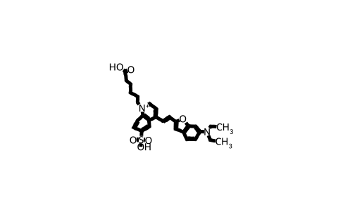 CCN(CC)c1ccc2cc(/C=C/c3cc[n+](CCCCCC(=O)O)c4ccc(S(=O)(=O)O)cc34)oc2c1